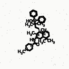 C[C@@H]1[C@H](NC(=O)N2CCN(C)CC2)CC2C(C)(C)CCC[C@]2(C)[C@H]1CCC(C)(C)[Si](O)(c1ccccc1)c1ccccc1